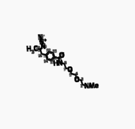 CNCCOCCOCCNC(=O)c1ccc(CC(C)N=[N+]=[N-])cc1